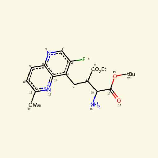 CCOC(=O)C(Cc1c(F)cnc2ccc(OC)nc12)C(N)C(=O)OC(C)(C)C